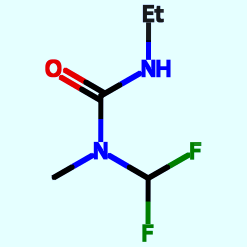 CCNC(=O)N(C)C(F)F